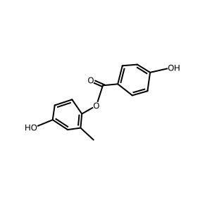 Cc1cc(O)ccc1OC(=O)c1ccc(O)cc1